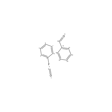 C=O.Fc1ccccc1.O=Cc1ccccc1